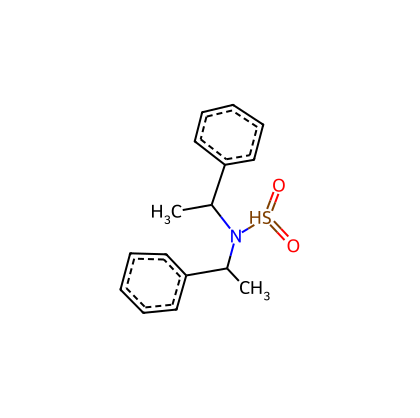 CC(c1ccccc1)N(C(C)c1ccccc1)[SH](=O)=O